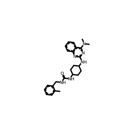 Cc1ccccc1CNC(=O)NC1CCC(Nc2nc(N(C)C)c3ccccc3n2)CC1